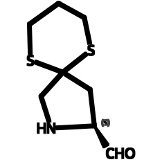 O=C[C@@H]1CC2(CN1)SCCCS2